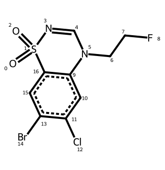 O=S1(=O)N=CN(CCF)c2cc(Cl)c(Br)cc21